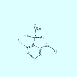 CCOc1cccc(F)c1C(F)(F)C(=O)O